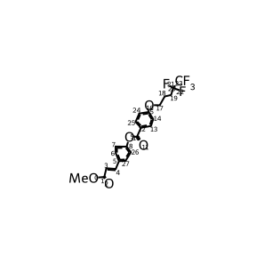 COC(=O)/C=C/c1ccc(OC(=O)c2ccc(OCCCC(F)(F)C(F)(F)F)cc2)cc1